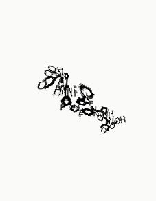 O=C(O)NC(C(=O)N1CCCC1c1nc2cc([C@H]3CC[C@@H](c4cc5nc(C6CCCN6C(=O)[C@@H](NC(=O)O)C6CCOCC6)[nH]c5cc4F)N3c3cc(F)c(N4CCCCC4)c(F)c3)c(F)cc2[nH]1)C1CCOCC1